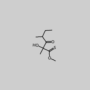 CCC(C)C(=O)C(C)(O)C(=S)OC